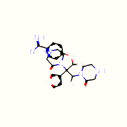 CCC(Oc1ccc(C(=N)N)cc1)C(c1ccoc1)(C(C(=O)O)N1CCNCC1=O)N1CCNCC1=O